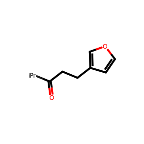 CC(C)C(=O)CCc1ccoc1